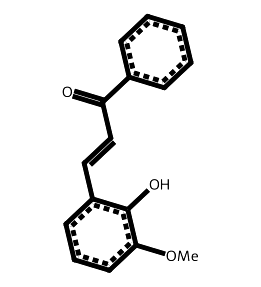 COc1cccc(C=CC(=O)c2ccccc2)c1O